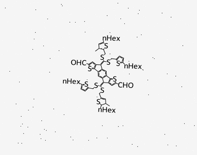 CCCCCCC1=CC(C)C(CS/C(SCc2ccc(CCCCCC)s2)=C2/c3cc4c(cc3-c3sc(C=O)cc32)/C(=C(/SCC2=CC(C)C(CCCCCC)S2)SCc2ccc(CCCCCC)s2)c2cc(C=O)sc2-4)S1